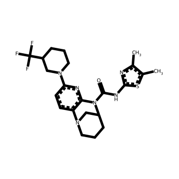 Cc1nc(NC(=O)N2c3nc(N4CCCC(C(F)(F)F)C4)ccc3N3CCCC2C3)sc1C